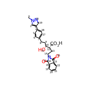 Cn1cc(-c2ccc(CC[C@@H](O)[C@@H](CCN3C(=O)c4ccccc4C3=O)C(=O)O)cc2)cn1